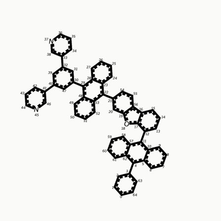 c1ccc(-c2c3ccccc3c(-c3cccc4c3oc3cc(-c5c6ccccc6c(-c6cc(-c7cccnc7)cc(-c7cccnc7)c6)c6ccccc56)ccc34)c3ccccc23)cc1